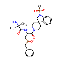 CC(C)(N)C(=O)N[C@H](C[S+]([O-])Cc1ccccc1)C(=O)N1CCC2(CC1)CN(S(C)(=O)=O)c1ccccc12